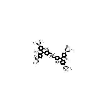 CCN(CC)c1ccc(C(c2ccc(CS(=O)(=O)Cc3ccc(C(c4ccc(N(CC)CC)cc4C)c4ccc(N(CC)CC)cc4C)cc3)cc2)c2ccc(N(CC)CC)cc2C)c(C)c1